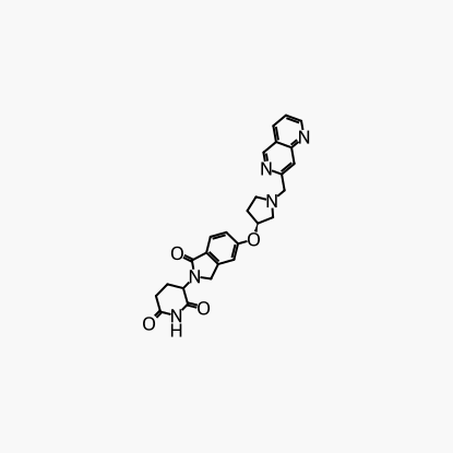 O=C1CCC(N2Cc3cc(O[C@H]4CCN(Cc5cc6ncccc6cn5)C4)ccc3C2=O)C(=O)N1